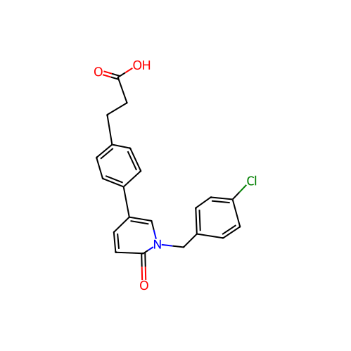 O=C(O)CCc1ccc(-c2ccc(=O)n(Cc3ccc(Cl)cc3)c2)cc1